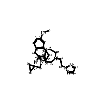 COc1ccc2c(c1)[C@@]13CCN(CCn4nccn4)CC[C@@]1(O)[C@@H](C2)N(CC1CC1)CC3